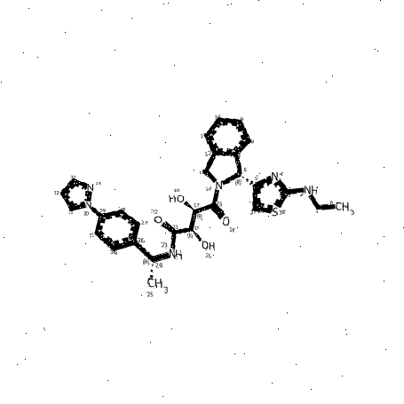 CCNc1nc([C@H]2c3ccccc3CN2C(=O)[C@H](O)[C@@H](O)C(=O)N[C@H](C)c2ccc(-n3cccn3)cc2)cs1